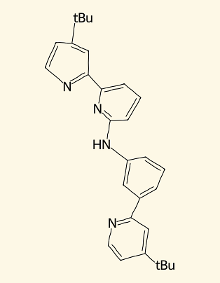 CC(C)(C)c1ccnc(-c2cccc(Nc3cccc(-c4cc(C(C)(C)C)ccn4)n3)c2)c1